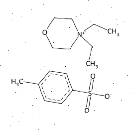 CC[N+]1(CC)CCOCC1.Cc1ccc(S(=O)(=O)[O-])cc1